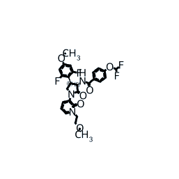 COCCn1cccc(N2C[C@@H](c3c(F)cc(OC)cc3F)[C@H](NC(=O)c3ccc(OC(F)F)cc3)C2=O)c1=O